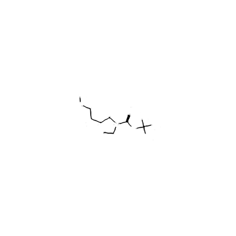 CSC[C@@H](O)[C@H]1CCN(C(=O)OC(C)(C)C)C1